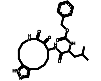 CC(C)CC(NC(=O)OCc1ccccc1)C(=O)NC1CCCc2cn[nH]c2CCCNC(=O)C1=O